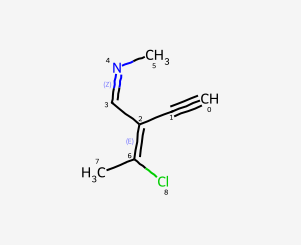 C#CC(/C=N\C)=C(/C)Cl